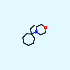 CCC1(N2CCOCC2)CCCCCC1